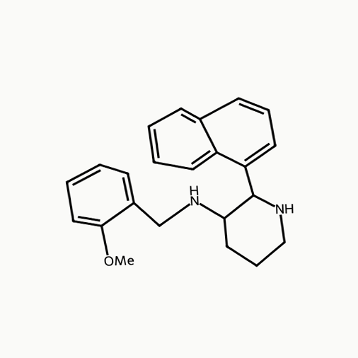 COc1ccccc1CNC1CCCNC1c1cccc2ccccc12